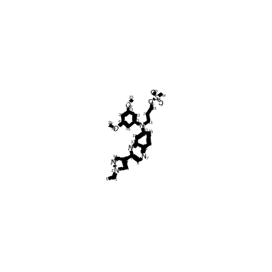 CCn1cc(-c2cnc3ccc(N(CCCOS(C)(=O)=O)c4cc(OC)cc(OC)c4)cc3n2)cn1